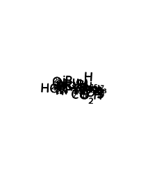 CCC(C)n1c(SCC2=C(C(=O)O)N3C(=O)C(NC(=O)Cc4ccsc4)[C@@H]3SC2)nnc(O)c1=O